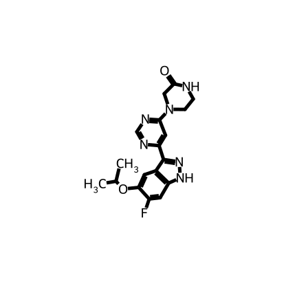 CC(C)Oc1cc2c(-c3cc(N4CCNC(=O)C4)ncn3)n[nH]c2cc1F